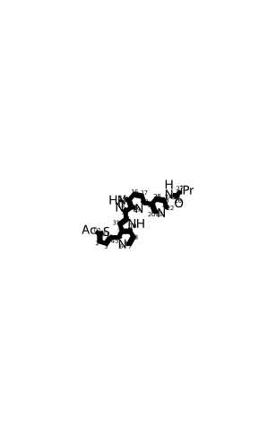 CC(=O)c1ccc(-c2nccc3[nH]c(-c4n[nH]c5ccc(-c6cncc(NC(=O)C(C)C)c6)nc45)cc23)s1